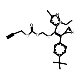 C#CCOC(=O)OCO/C(=C(\c1ccc(C(C)(C)C)cc1)C1C=N1)c1cc(C)nn1CC